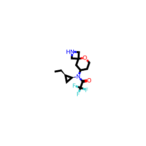 CC[C@@H]1C[C@H]1N(C(=O)C(F)(F)F)C1CCOC2(CNC2)C1